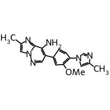 COc1cc(-c2cnn3cc(C)nc3c2N)ccc1-n1cnc(C)c1